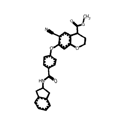 COC(=O)C1CCOc2cc(Oc3ccc(C(=O)NC4Cc5ccccc5C4)cc3)c(C#N)cc21